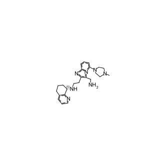 CN1CCN(c2cccc3nc(CCN[C@H]4CCCc5cccnc54)c(CN)n23)CC1